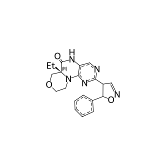 CC[C@]12COCCN1c1nc(C3C=NOC3c3ccccc3)ncc1NC2=O